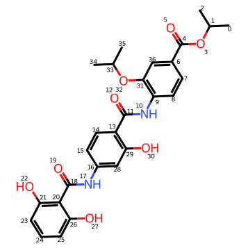 CC(C)OC(=O)c1ccc(NC(=O)c2ccc(NC(=O)c3c(O)cccc3O)cc2O)c(OC(C)C)c1